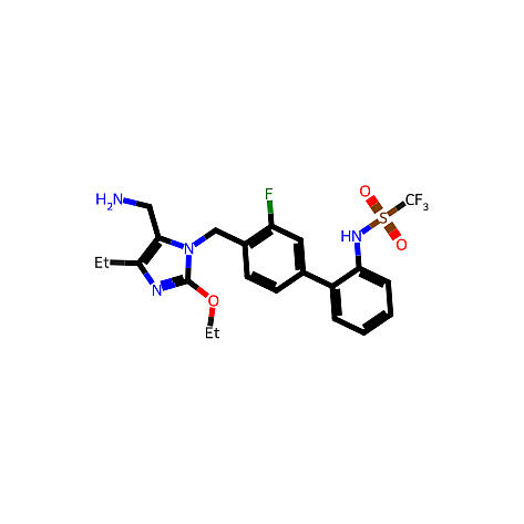 CCOc1nc(CC)c(CN)n1Cc1ccc(-c2ccccc2NS(=O)(=O)C(F)(F)F)cc1F